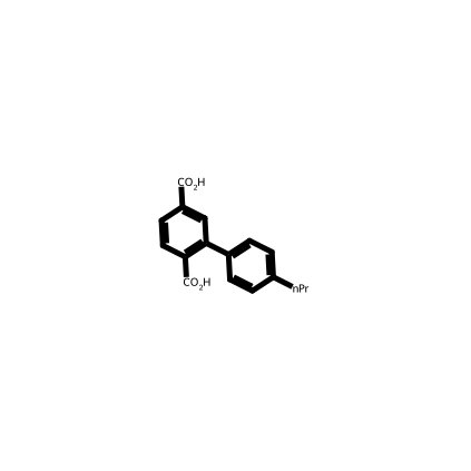 CCCc1ccc(-c2cc(C(=O)O)ccc2C(=O)O)cc1